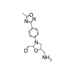 Cc1nc(-c2ccc(N3CC(CN)OC3C=O)cc2)no1